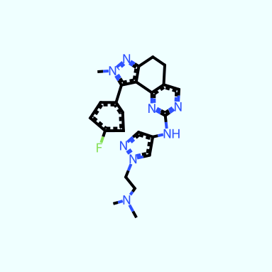 CN(C)CCn1cc(Nc2ncc3c(n2)-c2c(nn(C)c2-c2ccc(F)cc2)CC3)cn1